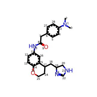 CN(C)c1ccc(CC(=O)Nc2ccc3c(c2)C(CC2CNC=N2)CCO3)cc1